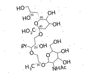 CC(=O)NC1C(O[C@H](C)COC(C(C)C)[C@@H](O)CO[C@]2(C(=O)O)CC(O)C(O)[C@@H](C[C@H](O)CO)O2)OC(CO)C(O)C1O